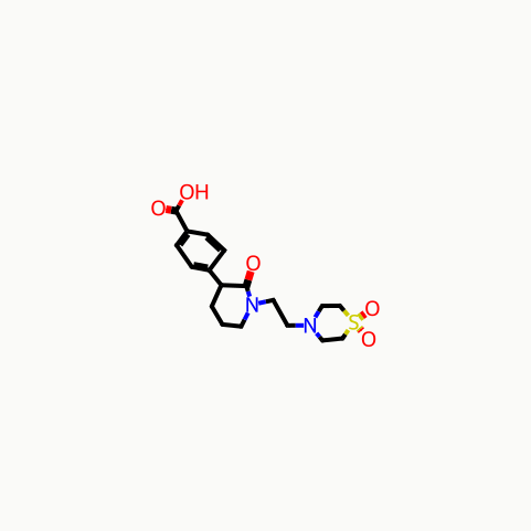 O=C(O)c1ccc(C2CCCN(CCN3CCS(=O)(=O)CC3)C2=O)cc1